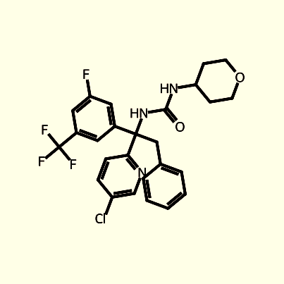 O=C(NC1CCOCC1)NC(Cc1ccccc1)(c1cc(F)cc(C(F)(F)F)c1)c1ccc(Cl)cn1